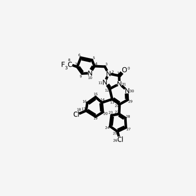 O=c1n(Cc2ccc(C(F)(F)F)cn2)nc2c(-c3ccc(Cl)cc3)c(-c3ccc(Cl)cc3)cnn12